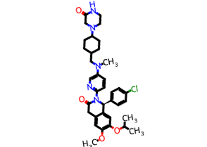 COc1cc2c(cc1OC(C)C)[C@H](c1ccc(Cl)cc1)N(c1ccc(N(C)CC3CCC(N4CCNC(=O)C4)CC3)cn1)C(=O)C2